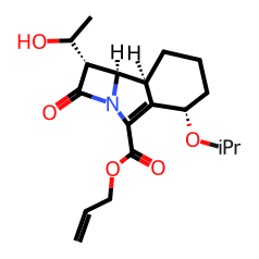 C=CCOC(=O)C1=C2[C@@H](OC(C)C)CCC[C@@H]2[C@@H]2[C@@H](C(C)O)C(=O)N12